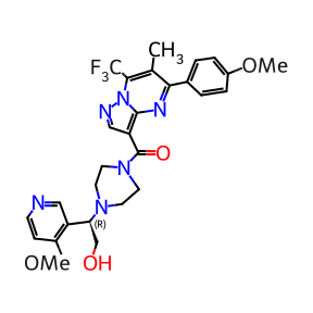 COc1ccc(-c2nc3c(C(=O)N4CCN([C@@H](CO)c5cnccc5OC)CC4)cnn3c(C(F)(F)F)c2C)cc1